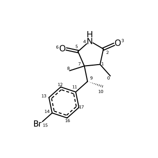 CC1C(=O)NC(=O)C1(C)[C@H](C)c1ccc(Br)cc1